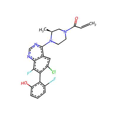 C=CC(=O)N1CCN(c2ncnc3c(F)c(-c4c(O)cccc4F)c(Cl)cc23)[C@@H](C)C1